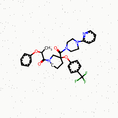 CC(Oc1ccccc1)C(=O)N1CCCC(Oc2ccc(C(F)(F)F)cc2)(C(=O)N2CCN(c3ccccn3)CC2)C1